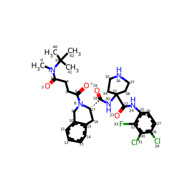 CN(C(=O)CCC(=O)N1Cc2ccccc2C[C@H]1C(=O)NC1(C(=O)Nc2ccc(Cl)c(Cl)c2F)CCNCC1)C(C)(C)C